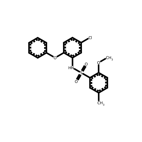 COc1ccc(C)cc1S(=O)(=O)Nc1cc(Cl)ccc1Oc1ccccc1